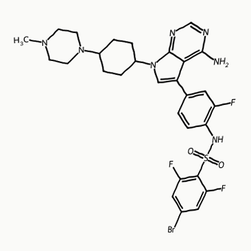 CN1CCN(C2CCC(n3cc(-c4ccc(NS(=O)(=O)c5c(F)cc(Br)cc5F)c(F)c4)c4c(N)ncnc43)CC2)CC1